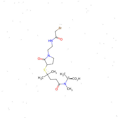 C[C@@H](C(=O)O)N(C)C(=O)CCC(C)(C)SC1CCN(CCNC(=O)CBr)C1=O